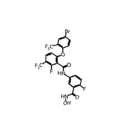 O=C(NO)c1cc(NC(=O)c2c(Oc3ccc(Br)cc3C(F)(F)F)ccc(C(F)(F)F)c2F)ccc1F